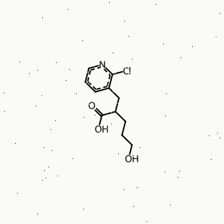 O=C(O)C(CCCO)Cc1cccnc1Cl